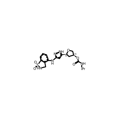 CC(C)NC(=O)O[C@@H]1CO[C@H](c2cc(Nc3cccc4c3CNS4(=O)=O)n[nH]2)C1